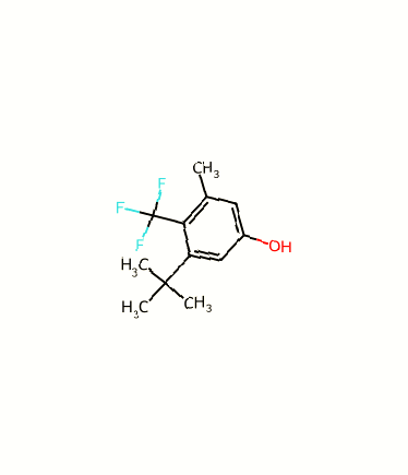 Cc1cc(O)cc(C(C)(C)C)c1C(F)(F)F